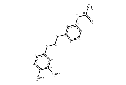 COc1ccc(CCCc2cccc(OC(N)=O)c2)cc1OC